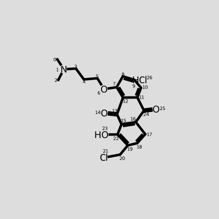 CN(C)CCCOc1cccc2c1C(=O)c1c(ccc(CCl)c1O)C2=O.Cl